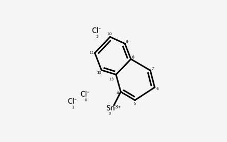 [Cl-].[Cl-].[Cl-].[Sn+3][c]1cccc2ccccc12